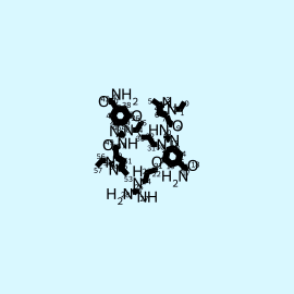 CCn1nc(C)cc1C(=O)Nc1nc2cc(C(N)=O)cc(OCCCNC(=N)N)c2n1CCC[C@H]1COc2cc(C(N)=O)cc3nc(NC(=O)c4cc(C)nn4CC)n1c23